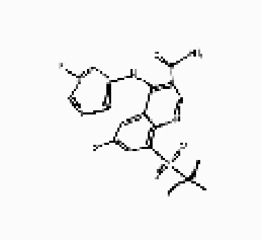 CC(C)(C)S(=O)(=O)c1cc(Cl)cc2c(Nc3cncc(F)c3)c(C(N)=O)cnc12